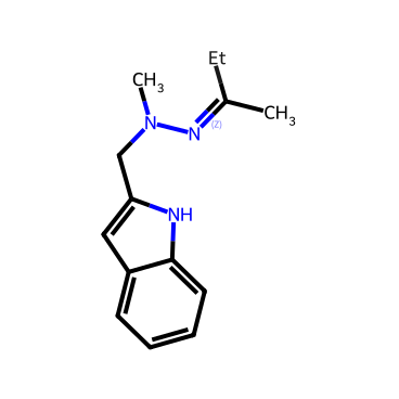 CC/C(C)=N\N(C)Cc1cc2ccccc2[nH]1